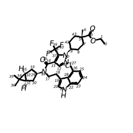 CCOC(=O)[C@]1(C)CC[C@@H](n2ncc(C(=O)N(CCc3c[nH]c4cccc(Cl)c34)[C@H]3C[C@@H]4[C@H](C3)C4(C)C)c2C(F)(F)F)CC1